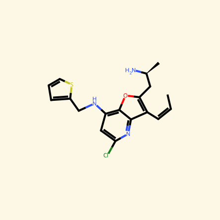 C/C=C\c1c(C[C@H](C)N)oc2c(NCc3cccs3)cc(Cl)nc12